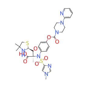 Cn1cnc(S(=O)(=O)N(c2ccc(OC(=O)N3CCN(c4ccccn4)CC3)cc2)[C@@](C)(C(=O)O)C(=O)[C@H]2NC(C)(C)CS2)c1